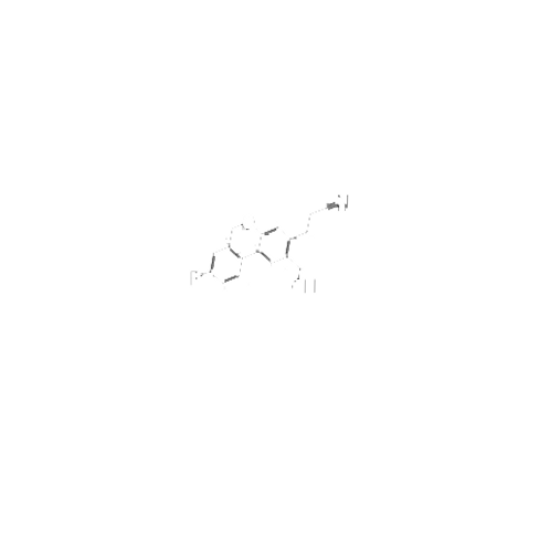 CCc1cc2c(cc1CCC#N)OCc1cc(F)ccc1-2